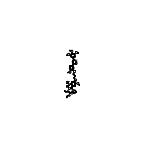 CCSC(SCC)[C@@H]1CCCN1C(=O)c1cc(OC)c(OCCCOc2cc(C3CC(c4cc(OC)c(OC)c(OC)c4)=NO3)ccc2OC)cc1[N+](=O)[O-]